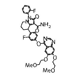 COCCOc1cc2ncnc(Oc3ccc(C4CCCn5c4c(C(N)=O)c(=O)n5-c4ccccc4F)c(F)c3)c2cc1OCCOC